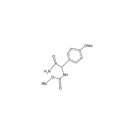 COc1ccc(C(NC(=O)OC(C)(C)C)C(N)=O)cc1